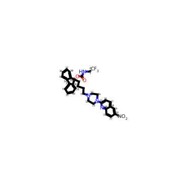 O=C(NCC(F)(F)F)OC1(CCCCN2CCN(c3ccc4cc([N+](=O)[O-])ccc4n3)CC2)c2ccccc2-c2ccccc21